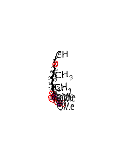 C#CCOCCC/C(C)=C/CC/C(C)=C/COP(=O)(OC)OP(=O)(OC)OC